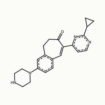 O=C1CCc2cc(N3CCNCC3)ccc2C=C1c1ccnc(C2CC2)n1